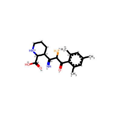 Cc1cc(C)c(C(=O)C(P)C(=N)C2CCCNC2C(=O)O)c(C)c1